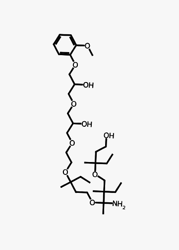 CCC(C)(CCOC(C)(N)C(C)(CC)COC(C)(CC)CCO)OCCOCC(O)COCC(O)COc1ccccc1OC